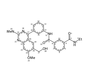 CCNC(=O)c1cccc(C(=O)Nc2cccc(-c3nc(NC)nc4cc(OC)c(CO)cc34)c2)c1